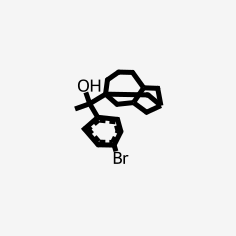 CC(O)(c1ccc(Br)cc1)C12CCCC3CC(CC3C1)C2